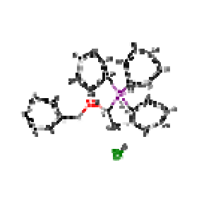 CCC(OCc1ccccc1)[P+](c1ccccc1)(c1ccccc1)c1ccccc1.[Br-]